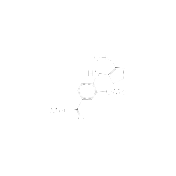 COC(=O)c1ccc(NC2=C(C=O)CCC2)c(OC)c1